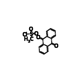 CS(=O)(=O)Cl.O=C1c2ccccc2C(=O)c2ccccc21